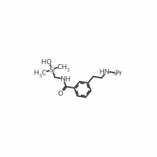 CC(C)NCCc1cccc(C(=O)NC[Si](C)(C)O)c1